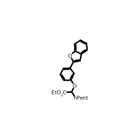 CCCCCC(Oc1cccc(-c2cc3ccccc3o2)c1)C(=O)OCC